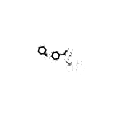 CC(C)Cn1cncc1-c1ccc(Oc2ccccc2)cc1